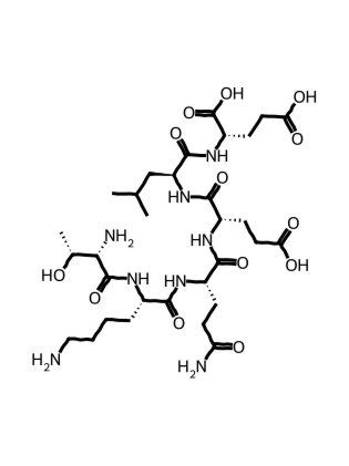 CC(C)C[C@H](NC(=O)[C@H](CCC(=O)O)NC(=O)[C@H](CCC(N)=O)NC(=O)[C@H](CCCCN)NC(=O)[C@@H](N)[C@@H](C)O)C(=O)N[C@@H](CCC(=O)O)C(=O)O